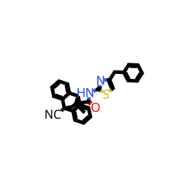 CC1(C(=O)Nc2nc(Cc3ccccc3)cs2)CC2(C#N)c3ccccc3C1c1ccccc12